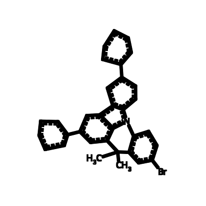 CC1(C)c2cc(Br)ccc2-n2c3ccc(-c4ccccc4)cc3c3cc(-c4ccccc4)cc1c32